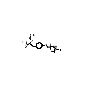 CCOC(Cc1ccc(OCC2(Br)NC(C)=CS2)cc1)C(=O)O